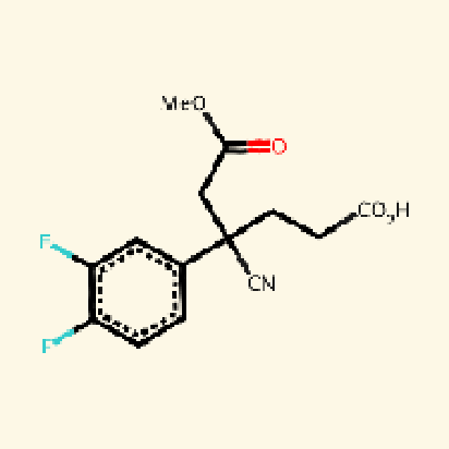 COC(=O)CC(C#N)(CCC(=O)O)c1ccc(F)c(F)c1